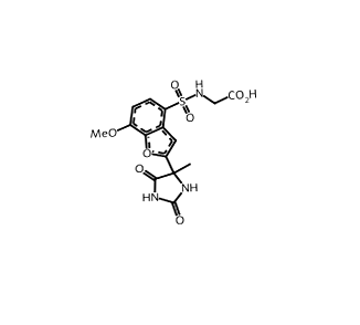 COc1ccc(S(=O)(=O)NCC(=O)O)c2cc(C3(C)NC(=O)NC3=O)oc12